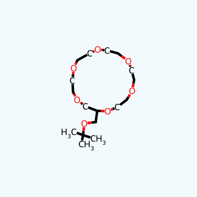 CC(C)(C)OCC1COCCOCCOCCOCCOCCO1